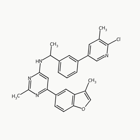 Cc1nc(NC(C)c2cccc(-c3cnc(Cl)c(C)c3)c2)cc(-c2ccc3occ(C)c3c2)n1